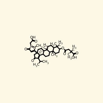 CC(C)C1=C2C3CCC4C5(C)CCC(OC(=O)CC(C)(C)C(=O)O)C(C)(C)C5CCC4(C)[C@]3(C)CCC2(c2cc(=O)n(CC(=O)O)n2C)CC1=O